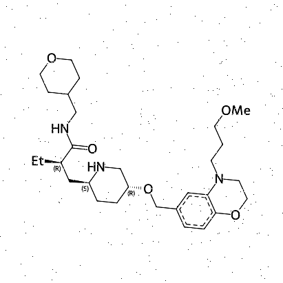 CC[C@H](C[C@@H]1CC[C@@H](OCc2ccc3c(c2)N(CCCOC)CCO3)CN1)C(=O)NCC1CCOCC1